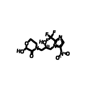 O=C1C(O)OCCN1C[C@@H](O)Cn1c([N+](=O)[O-])cnc1C(F)(F)F